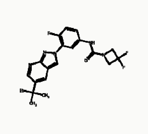 CCC(C)(C)c1cnc2nn(-c3cc(NC(=O)N4CC(F)(F)C4)ccc3F)cc2c1